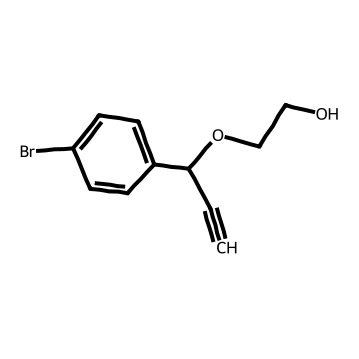 C#CC(OCCO)c1ccc(Br)cc1